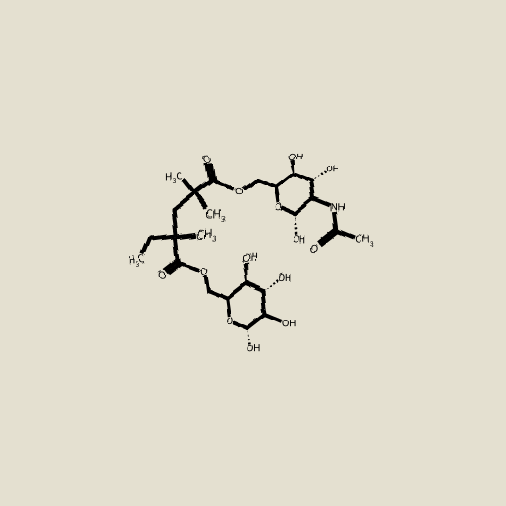 CCC(C)(CC(C)(C)C(=O)OCC1O[C@@H](O)C(NC(C)=O)[C@@H](O)[C@@H]1O)C(=O)OCC1O[C@@H](O)C(O)[C@@H](O)[C@@H]1O